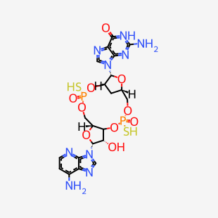 Nc1nc2c(ncn2[C@@H]2O[C@@H]3COP(=O)(S)OC4[C@@H](COP(=O)(S)O[C@H]2C3)O[C@@H](n2cnc3c(N)ccnc32)[C@H]4O)c(=O)[nH]1